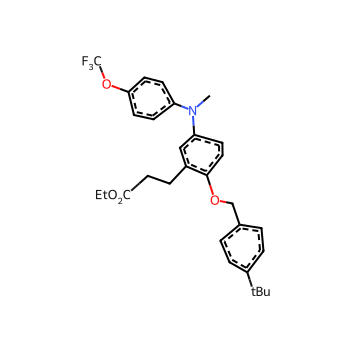 CCOC(=O)CCc1cc(N(C)c2ccc(OC(F)(F)F)cc2)ccc1OCc1ccc(C(C)(C)C)cc1